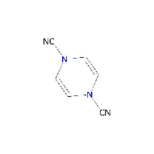 N#CN1C=CN(C#N)C=C1